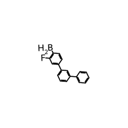 Bc1ccc(-c2cccc(-c3ccccc3)c2)cc1F